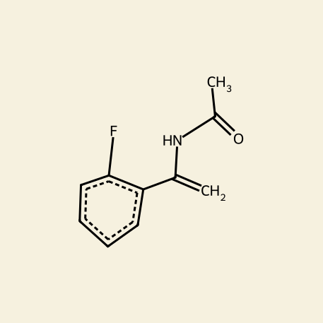 C=C(NC(C)=O)c1ccccc1F